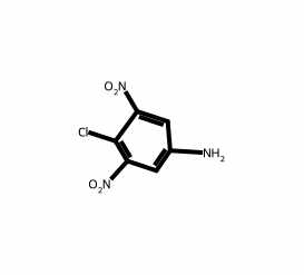 Nc1cc([N+](=O)[O-])c(Cl)c([N+](=O)[O-])c1